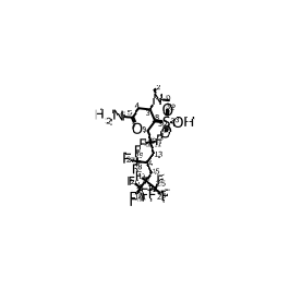 CN(C)C(CC(N)=O)C(CC(F)(F)CC(CC(F)(C(F)(F)F)C(F)(F)F)C(F)(F)F)S(=O)(=O)O